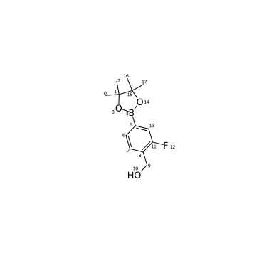 CC1(C)OB(c2ccc(CO)c(F)c2)OC1(C)C